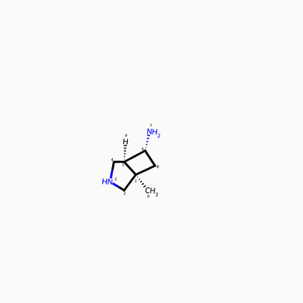 C[C@]12CNC[C@H]1[C@H](N)C2